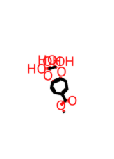 COC(=O)C1=CCC2=C(C=C1)OC(O)(O)C(O)(O)O2